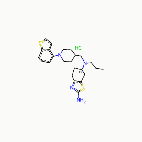 CCCN(CC1CCN(c2cccc3sccc23)CC1)[C@@H]1CCc2nc(N)sc2C1.Cl